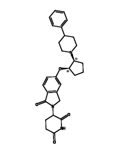 O=C1CCC(N2Cc3cc(O[C@@H]4CCC[C@@H]4N4CCC(c5ccccc5)CC4)ccc3C2=O)C(=O)N1